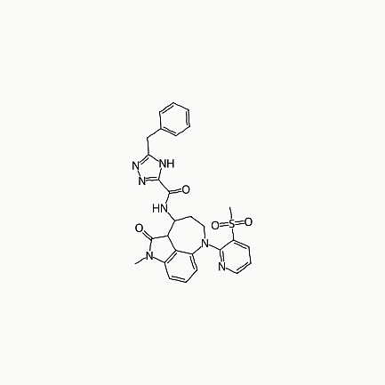 CN1C(=O)C2c3c1cccc3N(c1ncccc1S(C)(=O)=O)CCC2NC(=O)c1nnc(Cc2ccccc2)[nH]1